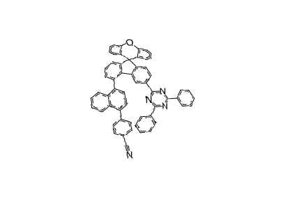 N#Cc1ccc(-c2ccc(-c3cccc4c3-c3cc(-c5nc(-c6ccccc6)nc(-c6ccccc6)n5)ccc3C43c4ccccc4Oc4ccccc43)c3ccccc23)cc1